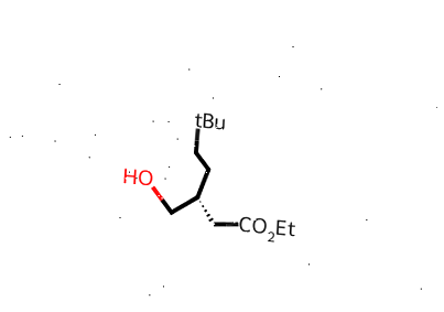 CCOC(=O)C[C@H](CO)CCC(C)(C)C